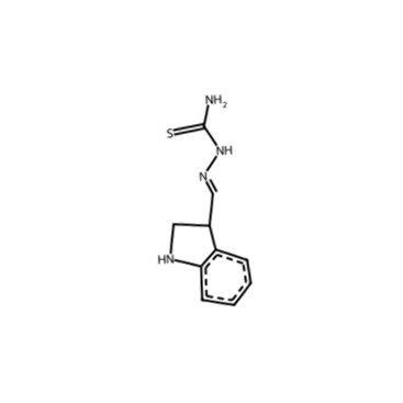 NC(=S)N/N=C/C1CNc2ccccc21